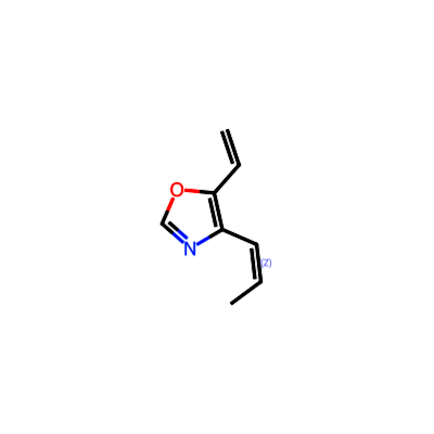 C=Cc1ocnc1/C=C\C